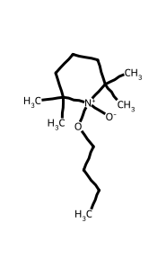 CCCCO[N+]1([O-])C(C)(C)CCCC1(C)C